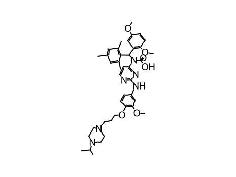 COc1ccc(OC)c(C(c2c(C)cc(C)cc2C)N(C(=O)O)c2ccnc(Nc3ccc(OCCCN4CCN(C(C)C)CC4)c(OC)c3)n2)c1